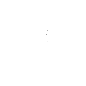 CCCn1c(=O)[nH]c(=O)n(-c2ccc(Sc3ccc([N+](=O)[O-])cc3)cc2)c1=O